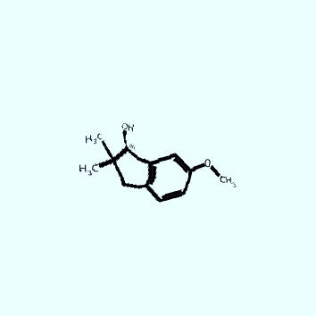 COc1ccc2c(c1)[C@H](O)C(C)(C)C2